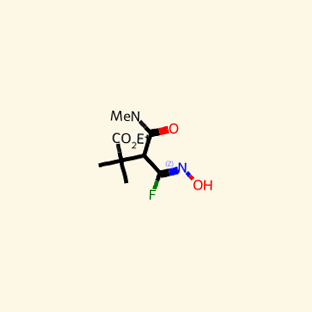 CCOC(=O)C(C)(C)C(C(=O)NC)/C(F)=N/O